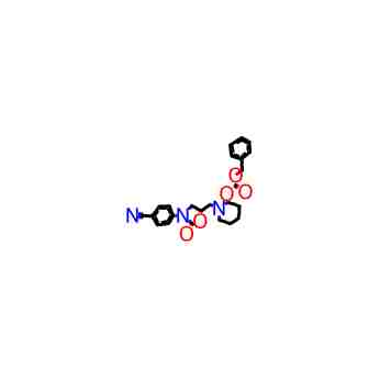 N#Cc1ccc(N2CC(CN3CCCCC3OC(=O)OCc3ccccc3)OC2=O)cc1